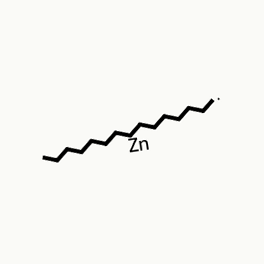 [CH2]CCCCCCCCCCCCCC.[Zn]